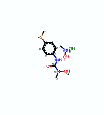 CNO.CSc1ccc(NC(=O)N(C)O)cc1.Cl